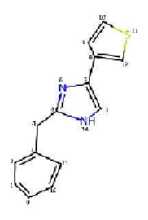 c1ccc(Cc2nc(-c3ccsc3)c[nH]2)cc1